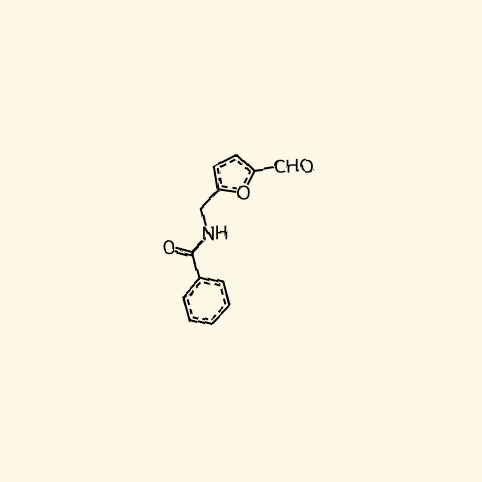 O=Cc1ccc(CNC(=O)c2ccccc2)o1